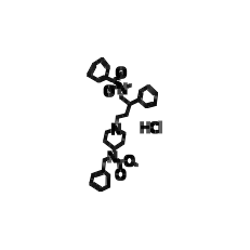 COC(=O)N(Cc1ccccc1)C1CCN(CCC(CN(C)S(=O)(=O)c2ccccc2)c2ccccc2)CC1.Cl